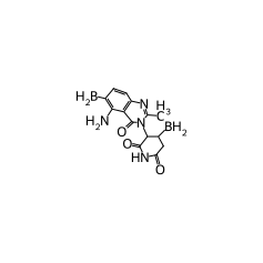 Bc1ccc2nc(C)n(C3C(=O)NC(=O)CC3B)c(=O)c2c1N